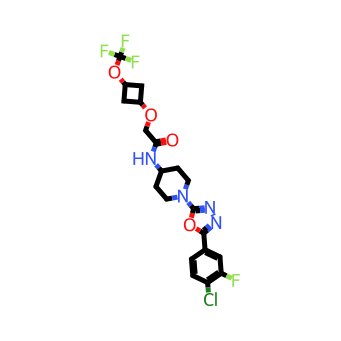 O=C(COC1CC(OC(F)(F)F)C1)NC1CCN(c2nnc(-c3ccc(Cl)c(F)c3)o2)CC1